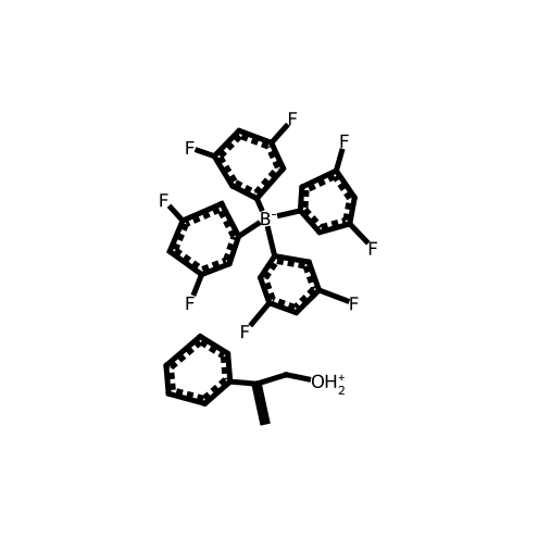 C=C(C[OH2+])c1ccccc1.Fc1cc(F)cc([B-](c2cc(F)cc(F)c2)(c2cc(F)cc(F)c2)c2cc(F)cc(F)c2)c1